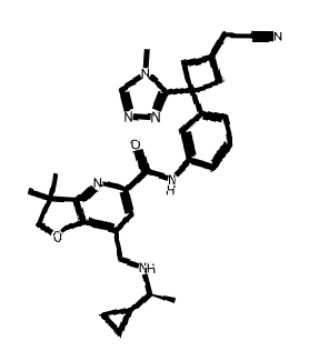 C[C@H](NCc1cc(C(=O)Nc2cccc(C3(c4nncn4C)CC(CC#N)C3)c2)nc2c1OCC2(C)C)C1CC1